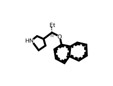 CC[C@H](Oc1cccc2ccccc12)C1CCNC1